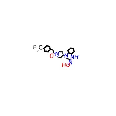 O=C(Cc1ccc(C(F)(F)F)cc1)N1CCC(N2C/C(=N\O)Nc3ccccc32)CC1